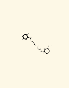 Cc1ccc(F)c(C(=O)NCC(=O)NCB2O[C@@H]3CCC[C@@H](C(C)C)[C@]3(C)O2)c1